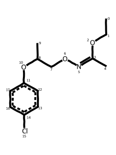 CCOC(C)=NOCC(C)Oc1ccc(Cl)cc1